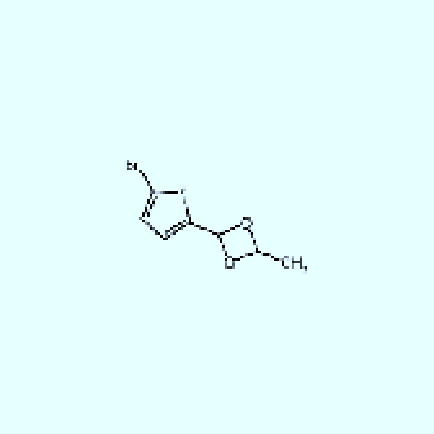 CC1OC(c2ccc(Br)s2)O1